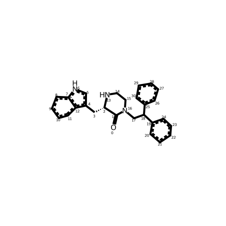 O=C1[C@H](Cc2c[nH]c3ccccc23)NCCN1CC(c1ccccc1)c1ccccc1